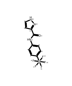 O=C(Nc1ccc(S(F)(F)(F)(F)F)cc1)c1cc[nH]n1